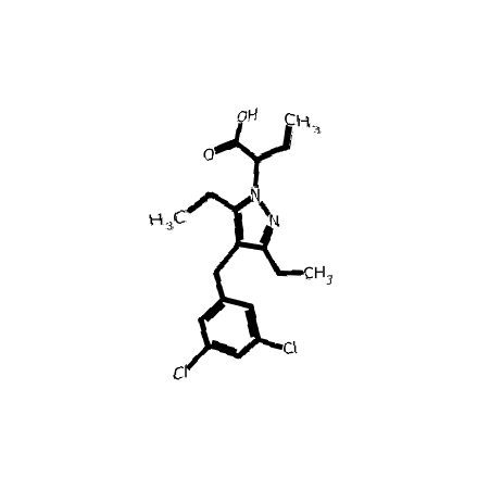 CCc1nn(C(CC)C(=O)O)c(CC)c1Cc1cc(Cl)cc(Cl)c1